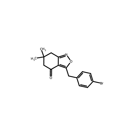 CC1(C)CC(=O)c2c(noc2Cc2ccc(Br)cc2)C1